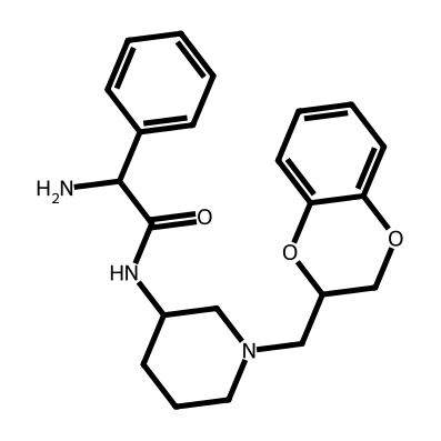 NC(C(=O)NC1CCCN(CC2COc3ccccc3O2)C1)c1ccccc1